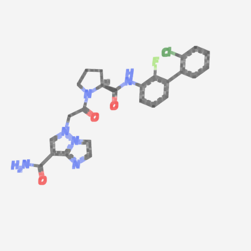 NC(=O)c1cn(CC(=O)N2CCC[C@H]2C(=O)Nc2cccc(-c3ccccc3Cl)c2F)n2ccnc12